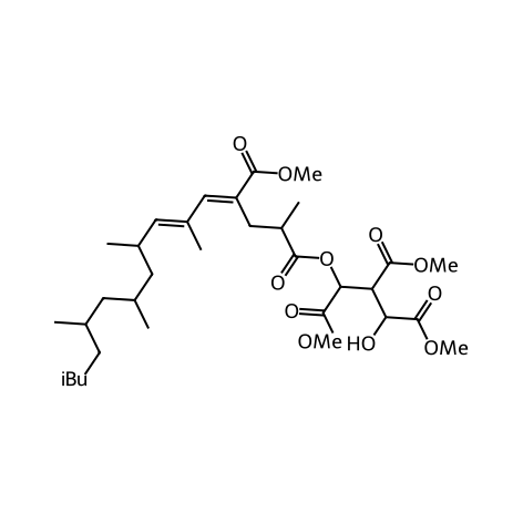 CCC(C)CC(C)CC(C)CC(C)/C=C(C)/C=C(\CC(C)C(=O)OC(C(=O)OC)C(C(=O)OC)C(O)C(=O)OC)C(=O)OC